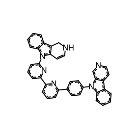 C1=Cc2c(c3ccccc3n2-c2cccc(-c3cccc(-c4ccc(-n5c6ccccc6c6ccncc65)cc4)n3)n2)CN1